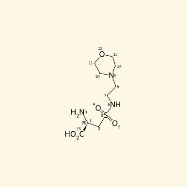 N[C@@H](CS(=O)(=O)NCCN1CCOCC1)C(=O)O